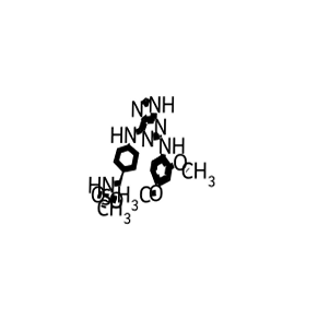 COc1ccc(Nc2nc(N[C@H]3CC[C@H](CNS(C)(=O)=O)CC3)c3nc[nH]c3n2)c(OC)c1